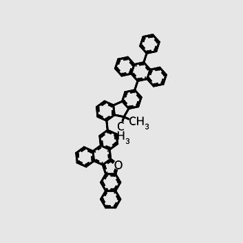 CC1(C)c2ccc(-c3c4ccccc4c(-c4ccccc4)c4ccccc34)cc2-c2cccc(-c3ccc4c(c3)c3ccccc3c3c5cc6ccccc6cc5oc43)c21